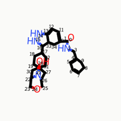 O=C(NCC1=CC=CCC1)C1=CC=C2NNC(C3CCC(N4C5COCC4CC(O)C5)CC3)C2C1